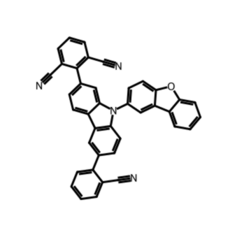 N#Cc1ccccc1-c1ccc2c(c1)c1ccc(-c3c(C#N)cccc3C#N)cc1n2-c1ccc2oc3ccccc3c2c1